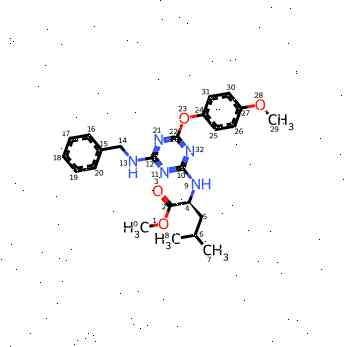 COC(=O)[C@H](CC(C)C)Nc1nc(NCc2ccccc2)nc(Oc2ccc(OC)cc2)n1